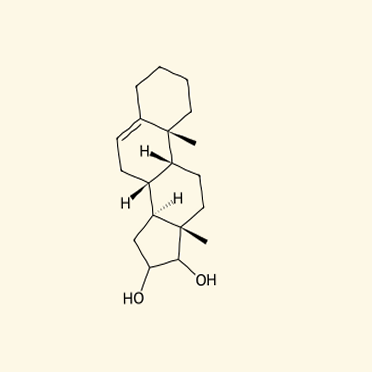 C[C@]12CCCCC1=CC[C@@H]1[C@H]2CC[C@]2(C)C(O)C(O)C[C@@H]12